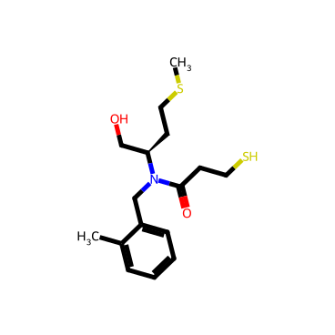 CSCC[C@H](CO)N(Cc1ccccc1C)C(=O)CCS